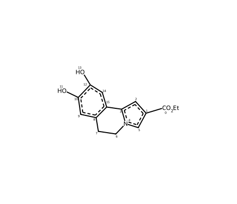 CCOC(=O)c1cc2n(c1)CCc1cc(O)c(O)cc1-2